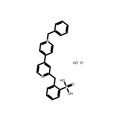 Cl.O=P(O)(O)c1ccccc1Cc1cc(-c2cc[n+](Cc3ccccc3)cc2)ccn1.[Cl-]